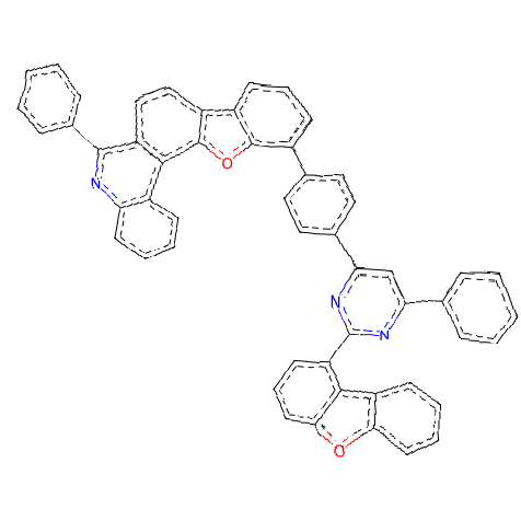 c1ccc(-c2cc(-c3ccc(-c4cccc5c4oc4c5ccc5c(-c6ccccc6)nc6ccccc6c54)cc3)nc(-c3cccc4oc5ccccc5c34)n2)cc1